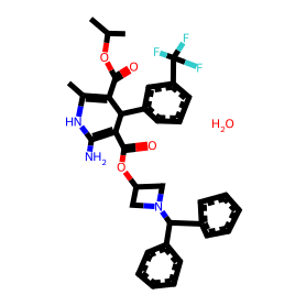 CC1=C(C(=O)OC(C)C)C(c2cccc(C(F)(F)F)c2)C(C(=O)OC2CN(C(c3ccccc3)c3ccccc3)C2)=C(N)N1.O